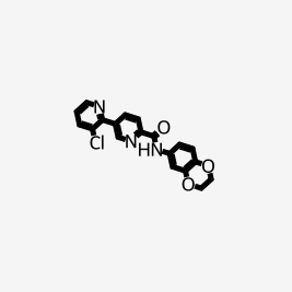 O=C(Nc1ccc2c(c1)OCCO2)c1ccc(-c2ncccc2Cl)cn1